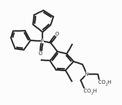 Cc1cc(C)c(C(=O)P(=O)(c2ccccc2)c2ccccc2)c(C)c1CN(CC(=O)O)CC(=O)O